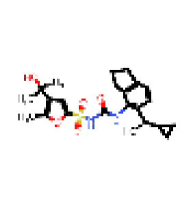 Cc1oc(S(=O)(=O)NC(=O)Nc2c([C@H](C)C3CC3)ccc3c2CCC3)cc1C(C)(C)O